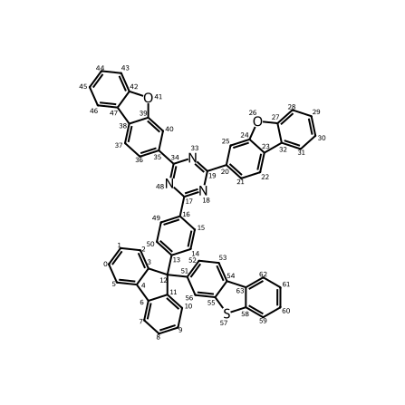 c1ccc2c(c1)-c1ccccc1C2(c1ccc(-c2nc(-c3ccc4c(c3)oc3ccccc34)nc(-c3ccc4c(c3)oc3ccccc34)n2)cc1)c1ccc2c(c1)sc1ccccc12